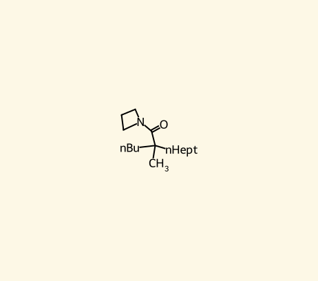 CCCCCCCC(C)(CCCC)C(=O)N1CCC1